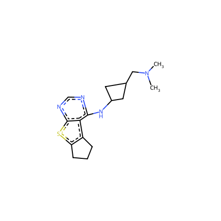 CN(C)CC1CC(Nc2ncnc3sc4c(c23)CCC4)C1